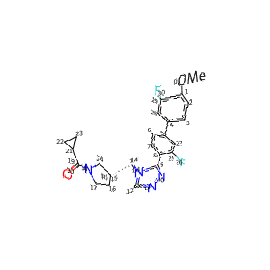 COc1ccc(-c2ccc(-c3nncn3C[C@@H]3CCN(C(=O)C4CC4)C3)c(F)c2)cc1F